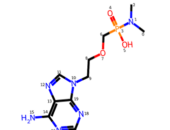 CN(C)P(=O)(O)COCCn1cnc2c(N)ncnc21